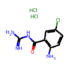 Cl.Cl.N=C(N)NC(=O)c1cc(Cl)ccc1N